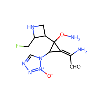 NOC1(C2CNC2CF)C(=C(N)C=O)C1n1cnn[n+]1[O-]